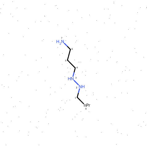 CCCCNNCCCN